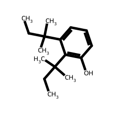 CCC(C)(C)c1cccc(O)c1C(C)(C)CC